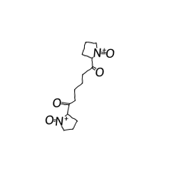 O=C(CCCCC(=O)C1CCC[N+]1=O)C1CCC[N+]1=O